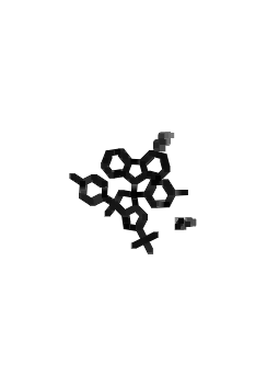 Cc1ccc(C2(C)CC(c3ccc(C)cc3)(C3c4ccccc4-c4ccccc43)C3C=C(C(C)(C)C)C=C32)cc1.[Cl-].[Cl-].[Zr+2]